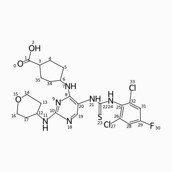 O=C(O)C1CCC(Nc2nc(NC3CCOCC3)ncc2NC(=S)Nc2c(Cl)cc(F)cc2Cl)CC1